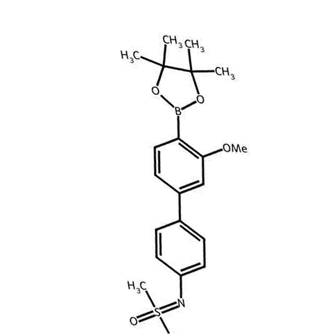 COc1cc(-c2ccc(N=S(C)(C)=O)cc2)ccc1B1OC(C)(C)C(C)(C)O1